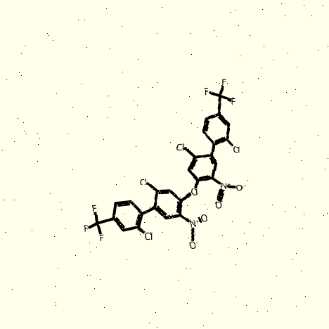 O=[N+]([O-])c1cc(-c2ccc(C(F)(F)F)cc2Cl)c(Cl)cc1Oc1cc(Cl)c(-c2ccc(C(F)(F)F)cc2Cl)cc1[N+](=O)[O-]